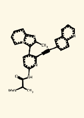 CNC(C)C(=O)Nc1ccc(-c2c(C)nc3ccccn23)c(C#Cc2ccc3ncccc3c2)n1